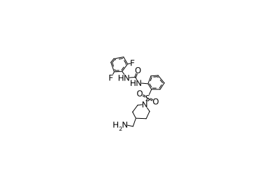 NCC1CCN(S(=O)(=O)c2ccccc2NC(=O)Nc2c(F)cccc2F)CC1